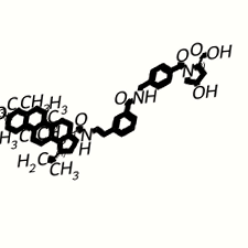 C=C(C)[C@@H]1CC[C@]2(C(=O)NCCc3cccc(C(=O)NCc4ccc(C(=O)N5CC(O)C[C@@H]5C(=O)O)cc4)c3)CC[C@]3(C)C(CCC4[C@@]5(C)CC[C@H](O)C(C)(C)C5CC[C@]43C)C12